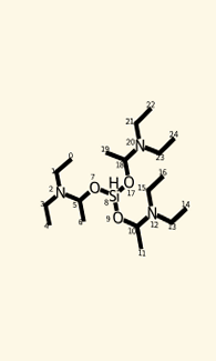 CCN(CC)C(C)O[SiH](OC(C)N(CC)CC)OC(C)N(CC)CC